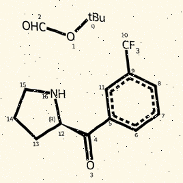 CC(C)(C)OC=O.O=C(c1cccc(C(F)(F)F)c1)[C@H]1CCCN1